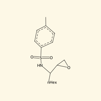 CCCCCCC(NS(=O)(=O)c1ccc(C)cc1)C1CO1